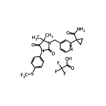 CC1(C)C(=O)N(c2ccc(SC(F)(F)F)cc2)C(=O)N1Cc1ccnc(C2(C(N)=O)CC2)c1.O=C(O)C(F)(F)F